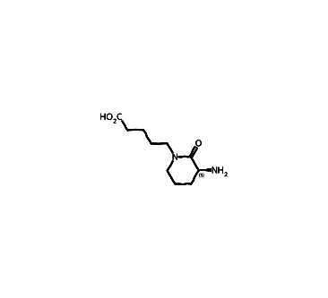 N[C@H]1CCCN(CCCCC(=O)O)C1=O